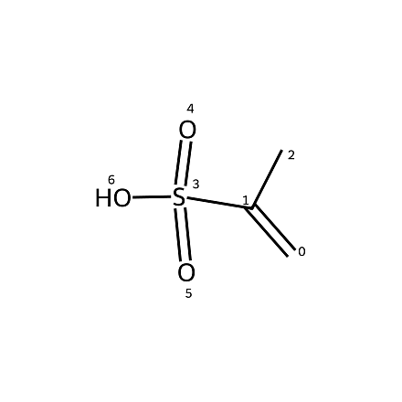 C=C(C)S(=O)(=O)O